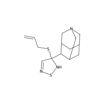 C=CCSC1(C2C3CC4CC2CN(C4)C3)C=NSN1